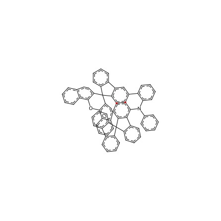 c1ccc(N(c2ccccc2-c2ccc3c(c2)-c2ccccc2C32c3ccc4ccccc4c3Oc3c2ccc2ccccc32)c2cccc3c2-c2ccccc2C32c3ccccc3-c3ccccc32)cc1